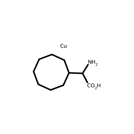 NC(C(=O)O)C1CCCCCCC1.[Cu]